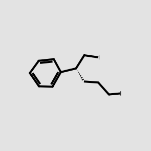 ICCC[C@@H](CI)c1ccccc1